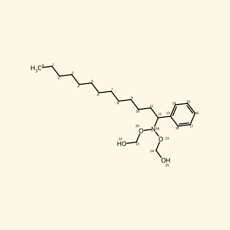 CCCCCCCCCCCCC(c1ccccc1)N(OCO)OCO